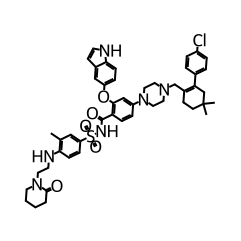 Cc1cc(S(=O)(=O)NC(=O)c2ccc(N3CCN(CC4=C(c5ccc(Cl)cc5)CC(C)(C)CC4)CC3)cc2Oc2ccc3[nH]ccc3c2)ccc1NCCN1CCCCC1=O